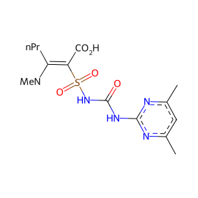 CCCC(NC)=C(C(=O)O)S(=O)(=O)NC(=O)Nc1nc(C)cc(C)n1